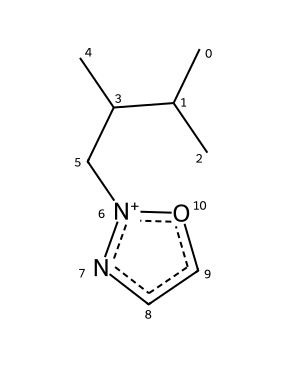 CC(C)C(C)C[n+]1ncco1